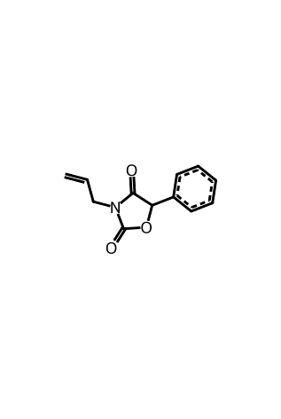 C=CCN1C(=O)OC(c2ccccc2)C1=O